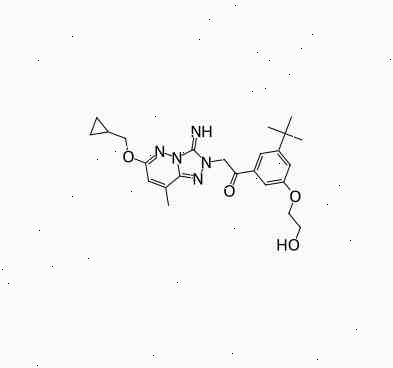 Cc1cc(OCC2CC2)nn2c(=N)n(CC(=O)c3cc(OCCO)cc(C(C)(C)C)c3)nc12